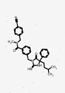 CC(C)CCC1(c2ccccc2)NC(=N)N(Cc2cccc(C(=O)N(C)Cc3ccc(C#N)cc3)c2)C1=O